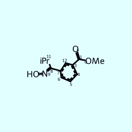 COC(=O)c1cccc(C(=NO)C(C)C)c1